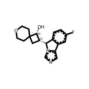 O[C@@H]1[C@H](C2c3ccc(F)cc3-c3cncn32)CC12CCOCC2